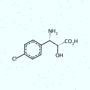 N[C@@H](c1ccc(Cl)cc1)[C@@H](O)C(=O)O